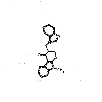 Cn1c2c(c3ccccc31)C(=O)C(Cn1cnc3ccccc31)CS2